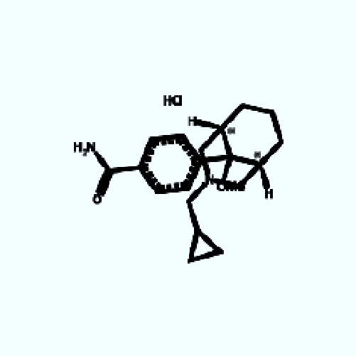 COC1(c2ccc(C(N)=O)cc2)[C@@H]2CCC[C@H]1CN(CC1CC1)C2.Cl